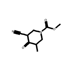 COC(=O)N1CC(C)C(=O)C(C#N)C1